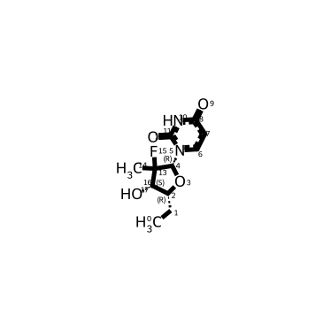 CC[C@H]1O[C@@H](n2ccc(=O)[nH]c2=O)C(C)(F)[C@H]1O